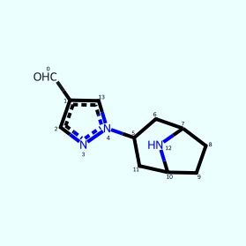 O=Cc1cnn(C2CC3CCC(C2)N3)c1